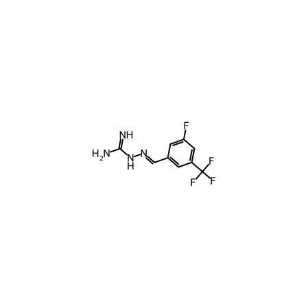 N=C(N)N/N=C/c1cc(F)cc(C(F)(F)F)c1